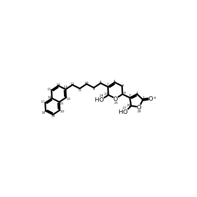 O=C1C=C(C2CC=C(CCCCCc3ccc4ccccc4c3)C(O)O2)C(O)O1